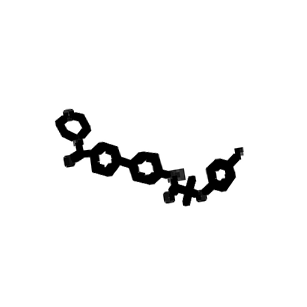 CC(C)(Oc1ccc(F)cc1)C(=O)Nc1ccc(-c2ccc(C(=O)N3CCOCC3)cc2)cc1